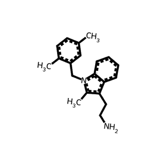 Cc1ccc(C)c(Cn2c(C)c(CCN)c3ccccc32)c1